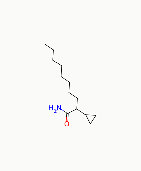 CCCCCCCCC(C(N)=O)C1CC1